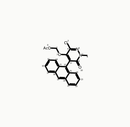 CC(=O)OCOc1c(Cl)nn(C)c(=O)c1-c1c2ccccc2cc2ccccc12